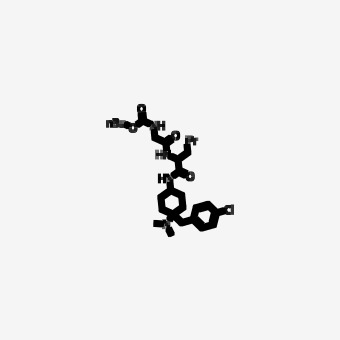 CCCCOC(=O)NCC(=O)NC(CC(C)C)C(=O)NC1CCC(Cc2ccc(Cl)cc2)(N(C)C)CC1